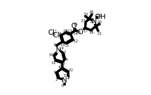 C[n+]1ccc(-c2cc[n+](Cc3ccc(C(=O)OC4CC(C)(C)N(O)C(C)(C)C4)cc3)cc2)cc1.[Cl-].[Cl-]